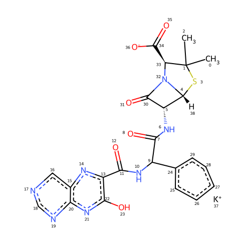 CC1(C)S[C@@H]2[C@H](NC(=O)C(NC(=O)c3nc4cncnc4nc3O)c3ccccc3)C(=O)N2[C@H]1C(=O)[O-].[K+]